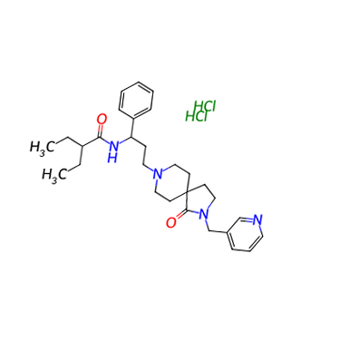 CCC(CC)C(=O)NC(CCN1CCC2(CC1)CCN(Cc1cccnc1)C2=O)c1ccccc1.Cl.Cl